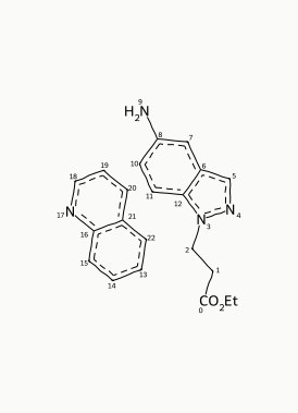 CCOC(=O)CCn1ncc2cc(N)ccc21.c1ccc2ncccc2c1